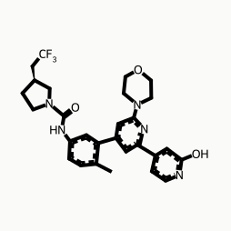 Cc1ccc(NC(=O)N2CC[C@@H](CC(F)(F)F)C2)cc1-c1cc(-c2ccnc(O)c2)nc(N2CCOCC2)c1